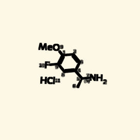 COc1ccc([C@H](C)N)cc1F.Cl